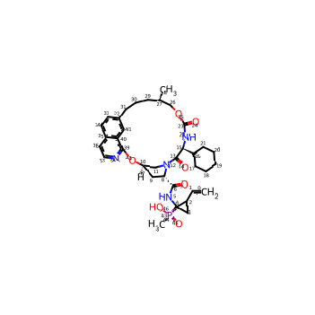 C=CC1CC1(NC(=O)[C@@H]1C[C@@H]2CN1C(=O)[C@H](C1CCCCC1)NC(=O)OC[C@H](C)CCCc1ccc3ccnc(c3c1)O2)P(C)(=O)O